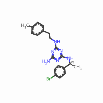 Cc1ccc(CCNc2nc(N)nc(N[C@@H](C)c3ccc(Br)cc3)n2)cc1